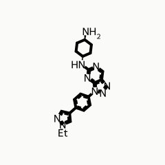 CCn1cc(-c2ccc(-n3nnc4cnc(N[C@H]5CC[C@H](N)CC5)nc43)cc2)cn1